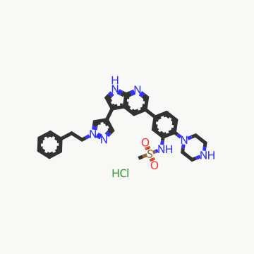 CS(=O)(=O)Nc1cc(-c2cnc3[nH]cc(-c4cnn(CCc5ccccc5)c4)c3c2)ccc1N1CCNCC1.Cl